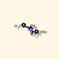 COc1ccc(-c2c(C(=O)O)sc3nc(/C=C/c4cccc(C)c4)c(C)c(=O)n23)cc1